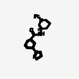 CC(C)N1CCC[C@@H](NC(=O)c2cccc(-n3cccn3)c2)C1